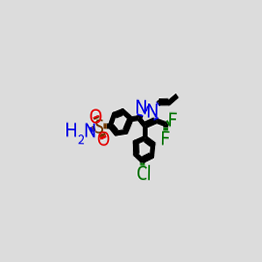 CC=Cn1nc(-c2ccc(S(N)(=O)=O)cc2)c(-c2ccc(Cl)cc2)c1C(F)F